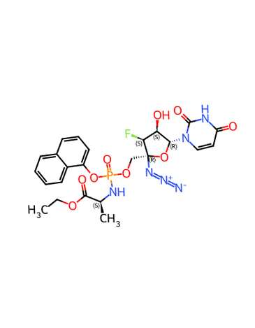 CCOC(=O)[C@H](C)NP(=O)(OC[C@@]1(N=[N+]=[N-])O[C@@H](n2ccc(=O)[nH]c2=O)[C@H](O)[C@@H]1F)Oc1cccc2ccccc12